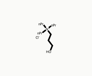 CCC[N+](CCC)(CCC)CCCO.[Cl-]